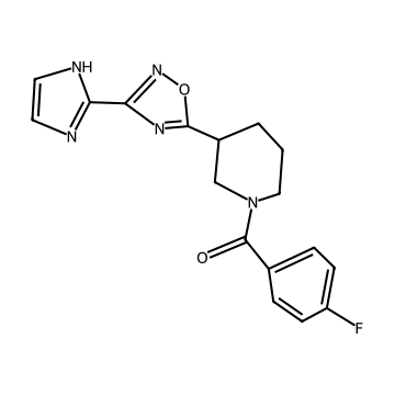 O=C(c1ccc(F)cc1)N1CCCC(c2nc(-c3ncc[nH]3)no2)C1